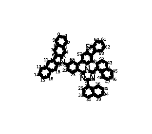 c1ccc2cc3c(cc2c1)c1cc2ccccc2cc1n3-c1ccc(-c2nc(-c3cccc4ccccc34)nc(-c3cccc4ccccc34)n2)c(-c2ccc3c(c2)sc2ccccc23)c1